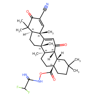 CC1(C)CC[C@]2(C(=O)ONC(=N)C(F)F)CC[C@]3(C)[C@H](C(=O)C=C4[C@@]5(C)C=C(C#N)C(=O)C(C)(C)[C@@H]5CC[C@]43C)[C@@H]2C1